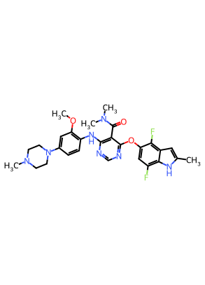 COc1cc(N2CCN(C)CC2)ccc1Nc1ncnc(Oc2cc(F)c3[nH]c(C)cc3c2F)c1C(=O)N(C)C